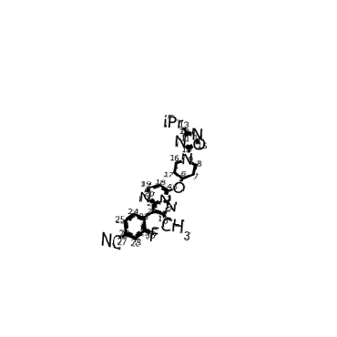 Cc1nn2c(OC3CCN(c4nc(C(C)C)no4)CC3)ccnc2c1-c1ccc(C#N)cc1F